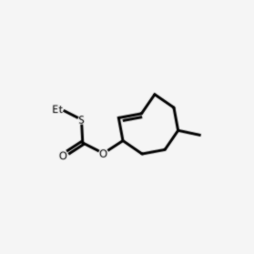 CCSC(=O)OC1/C=C/CCC(C)CC1